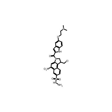 CN(C)CCOc1ccc2[nH]c(C(=O)N3CC(CCl)c4c3cc([N+](=O)[O-])c3cc(S(=O)(=O)NN)ccc43)cc2c1